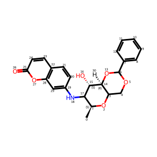 C[C@@H]1OC2COC(c3ccccc3)O[C@@H]2[C@@H](O)C1Nc1ccc2ccc(=O)oc2c1